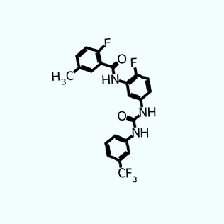 Cc1ccc(F)c(C(=O)Nc2cc(NC(=O)Nc3cccc(C(F)(F)F)c3)ccc2F)c1